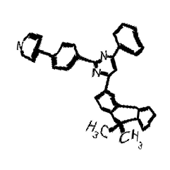 CC1(C)c2ccccc2-c2cc(-c3cc(-c4ccccc4)nc(-c4ccc(-c5ccncc5)cc4)n3)ccc21